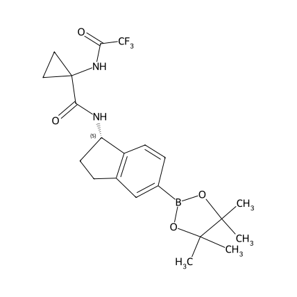 CC1(C)OB(c2ccc3c(c2)CC[C@@H]3NC(=O)C2(NC(=O)C(F)(F)F)CC2)OC1(C)C